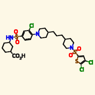 O=C(O)C1CCCC(NS(=O)(=O)c2ccc(N3CCC(CCCC4CCN(S(=O)(=O)c5cc(Cl)c(Cl)s5)CC4)CC3)c(Cl)c2)C1